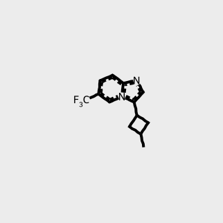 CC1CC(c2cnc3ccc(C(F)(F)F)cn23)C1